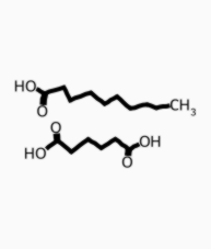 CCCCCCCCCC(=O)O.O=C(O)CCCCC(=O)O